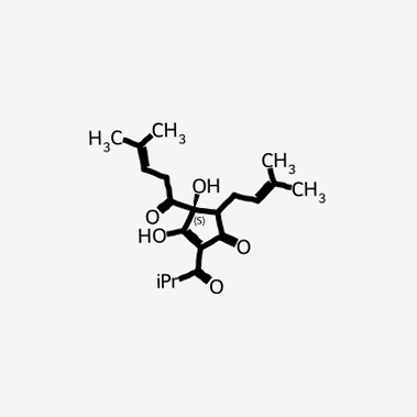 CC(C)=CCC(=O)[C@@]1(O)C(O)=C(C(=O)C(C)C)C(=O)C1CC=C(C)C